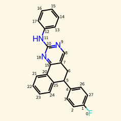 Fc1ccc(C2Cc3cnc(Nc4ccccc4)nc3-c3ccccc32)cc1